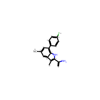 C=C(N)c1[nH]c2c(-c3ccc(F)cc3)cc(C#N)cc2c1C